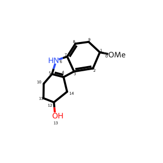 COC1C=c2c3c([nH]c2=CC1)CCC(O)C3